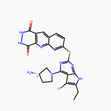 CCc1[nH]c2nc(Sc3ccc4cc5c(=O)[nH][nH]c(=O)c5nc4c3)nc(N3CC[C@H](N)C3)c2c1Cl